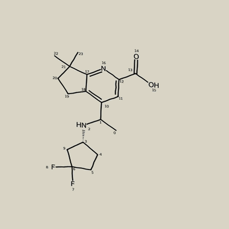 CC(N[C@@H]1CCC(F)(F)C1)c1cc(C(=O)O)nc2c1CCC2(C)C